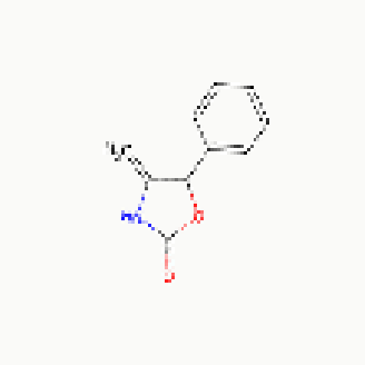 C=C1NC(=O)OC1c1ccccc1